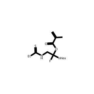 C=C(C)C(=O)OC(F)(CCCCCC)CNC(=S)CC